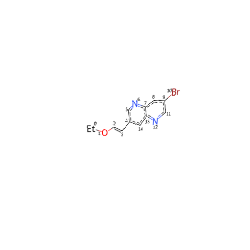 CCOC=Cc1cnc2cc(Br)cnc2c1